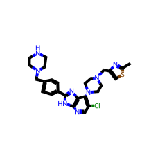 Cc1nc(CN2CCN(c3c(Cl)cnc4[nH]c(-c5ccc(CN6CCNCC6)cc5)nc34)CC2)cs1